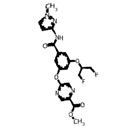 COC(=O)c1cnc(Oc2cc(OC(CF)CF)cc(C(=O)Nc3ccn(C)n3)c2)cn1